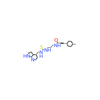 Cc1ccc(C#CC(=O)NCCCNC(=S)NCc2ccnc3[nH]ccc23)cc1